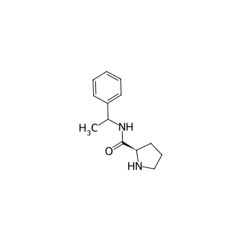 CC(NC(=O)[C@H]1CCCN1)c1ccccc1